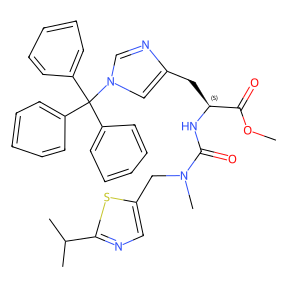 COC(=O)[C@H](Cc1cn(C(c2ccccc2)(c2ccccc2)c2ccccc2)cn1)NC(=O)N(C)Cc1cnc(C(C)C)s1